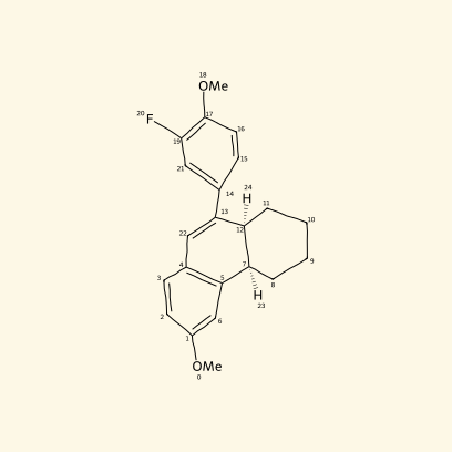 COc1ccc2c(c1)[C@@H]1CCCC[C@@H]1C(c1ccc(OC)c(F)c1)=C2